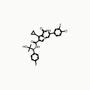 CC(C)(O)[C@@H](NC(=O)c1cn2cc(-c3ccc(Cl)c(F)c3)[nH]c(=O)c2c1C1CC1)c1ccc(F)cc1